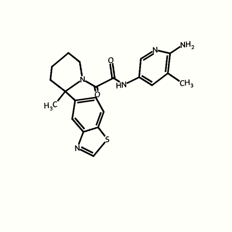 Cc1cc(NC(=O)C(=O)N2CCCCC2(C)c2ccc3scnc3c2)cnc1N